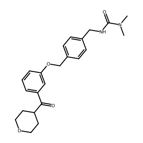 CN(C)C(=O)NCc1ccc(COc2cccc(C(=O)C3CCOCC3)c2)cc1